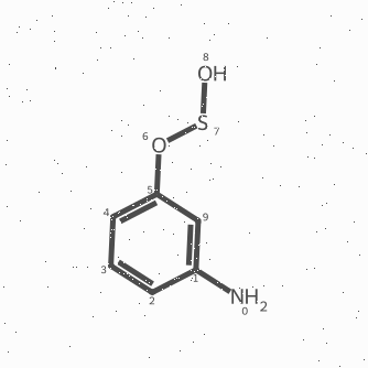 Nc1cccc(OSO)c1